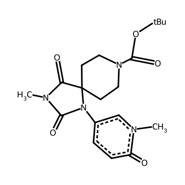 CN1C(=O)N(c2ccc(=O)n(C)c2)C2(CCN(C(=O)OC(C)(C)C)CC2)C1=O